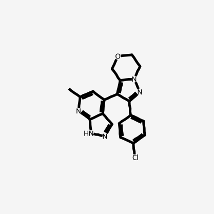 Cc1cc(-c2c(-c3ccc(Cl)cc3)nn3c2COCC3)c2cn[nH]c2n1